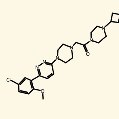 COc1ccc(Cl)cc1-c1ccc(N2CCN(CC(=O)N3CCN(C4CCC4)CC3)CC2)nn1